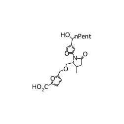 CCCCCC(O)c1coc(N2C(=O)CC(C)C2COCc2ccc(C(=O)O)o2)c1